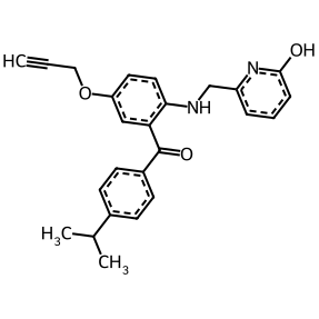 C#CCOc1ccc(NCc2cccc(O)n2)c(C(=O)c2ccc(C(C)C)cc2)c1